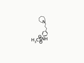 CS(=O)(=O)Nc1ccc(CCCN2CCCCCC2)cc1